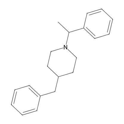 CC(c1ccccc1)N1CCC(Cc2ccccc2)CC1